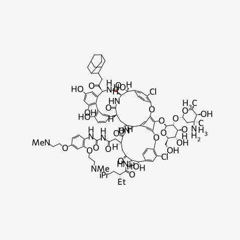 CC[C@H](CC(C)C)C(=O)N[C@H]1C(=O)C[C@@H](CC(=O)NC(=O)Nc2ccc(OCCNC)cc2OCCNC)C(=O)N[C@H]2C(=O)C[C@H]3C(=O)N[C@H](C(=O)N[C@H](C(=O)CC4C5CC6CC(C5)CC4C6)c4cc(O)cc(O)c4-c4cc3ccc4O)[C@H](O)c3ccc(c(Cl)c3)Oc3cc2cc(c3O[C@@H]2O[C@H](CO)[C@@H](O)[C@H](O)[C@H]2O[C@H]2C[C@](C)(N)[C@H](O)[C@H](C)O2)Oc2ccc(cc2Cl)[C@H]1O